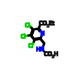 CCOC(=O)c1nc(CNC(=O)O)c(Cl)c(Cl)c1Cl